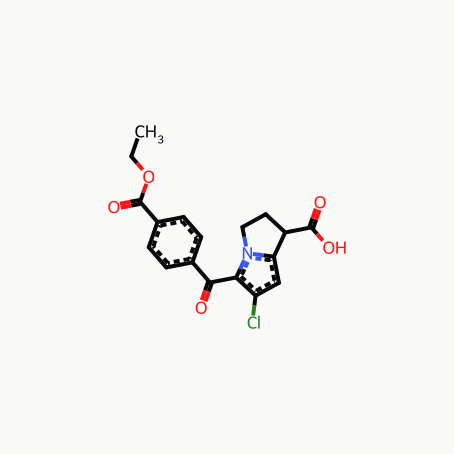 CCOC(=O)c1ccc(C(=O)c2c(Cl)cc3n2CCC3C(=O)O)cc1